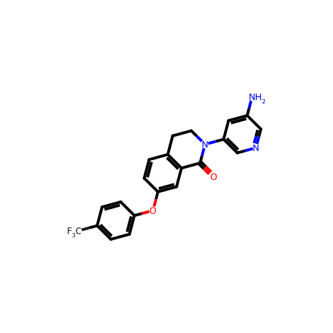 Nc1cncc(N2CCc3ccc(Oc4ccc(C(F)(F)F)cc4)cc3C2=O)c1